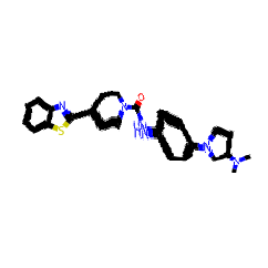 CN(C)C1CCN(c2ccc(NC(=O)N3CCC(c4nc5ccccc5s4)CC3)cc2)C1